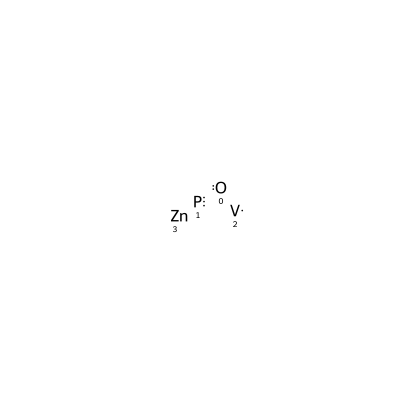 [O].[P].[V].[Zn]